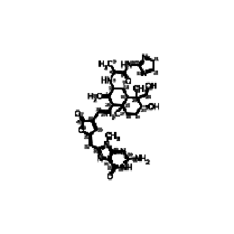 C=C1C(NC(C)C(=O)NC2=NCC=N2)CC2[C@](C)(CC[C@@H](O)[C@@]2(C)CO)C1/C=C/C1=CC(=C\c2nc3c(=O)[nH]c(N)nc3n2C)/OC1=O